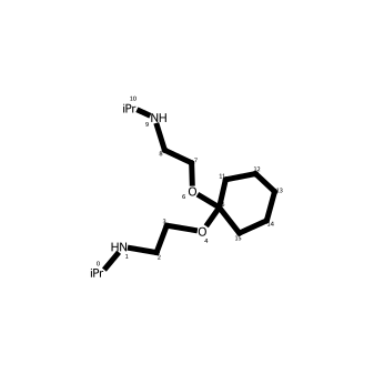 CC(C)NCCOC1(OCCNC(C)C)CCCCC1